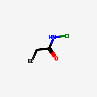 CCCC(=O)NCl